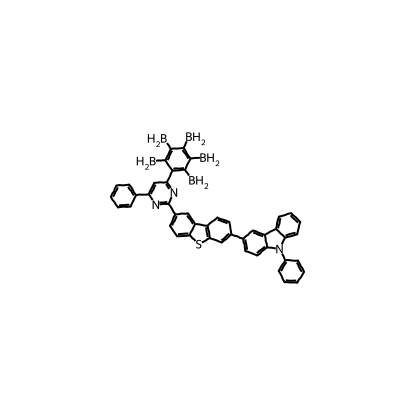 Bc1c(B)c(B)c(-c2cc(-c3ccccc3)nc(-c3ccc4sc5cc(-c6ccc7c(c6)c6ccccc6n7-c6ccccc6)ccc5c4c3)n2)c(B)c1B